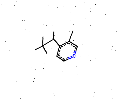 Cc1cnccc1C(C)C(C)(C)C